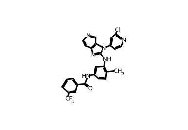 Cc1ccc(NC(=O)c2cccc(C(F)(F)F)c2)cc1Nc1nc2ccncc2n1-c1ccnc(Cl)c1